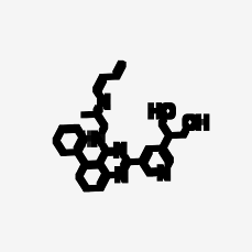 C=C/C=C\N=C(/C)CNc1nc(-c2cncc(C(CO)CO)c2)nc2c1=C(C1=CC=CCC1)CCC=2